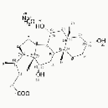 C[C@H](CCC(=O)[O-])[C@H]1CCC2C3C(C[C@H](O)[C@@]21C)[C@@]1(C)CC[C@@H](O)C[C@H]1C[C@H]3O.O.[Na+]